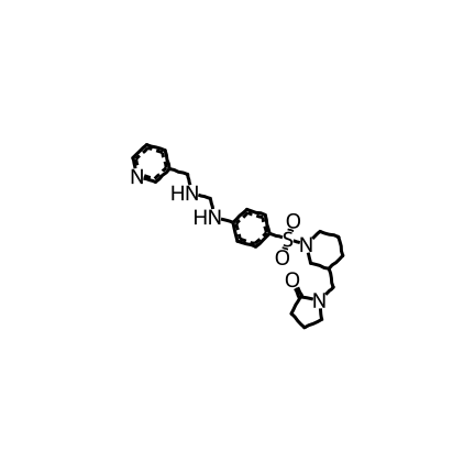 O=C1CCCN1CC1CCCN(S(=O)(=O)c2ccc(NCNCc3cccnc3)cc2)C1